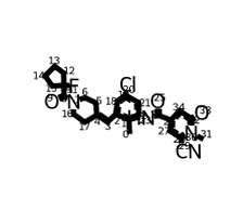 Cc1c(C=C2CCN(C(=O)C3(F)CCCC3)CC2)cc(Cl)cc1NC(=O)c1cc(C#N)n(C)c(=O)c1